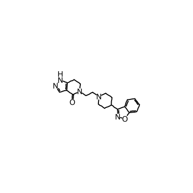 O=C1c2cn[nH]c2CCN1CCN1CCC(c2noc3ccccc23)CC1